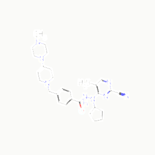 Bc1cnc(C#N)nc1N(NC(=O)c1ccc(CN2CCC(N3CCN(C)CC3)CC2)cc1)C1CCCC1